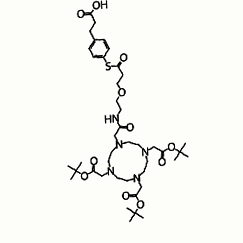 CC(C)(C)OC(=O)CN1CCN(CC(=O)NCCOCCC(=O)Sc2ccc(CCC(=O)O)cc2)CCN(CC(=O)OC(C)(C)C)CCN(CC(=O)OC(C)(C)C)CC1